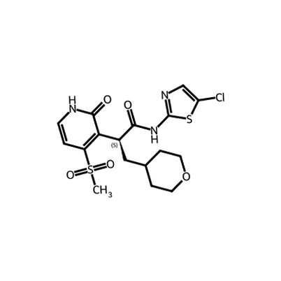 CS(=O)(=O)c1cc[nH]c(=O)c1[C@H](CC1CCOCC1)C(=O)Nc1ncc(Cl)s1